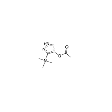 CC(=O)Oc1c[nH]nc1[N+](C)(C)C